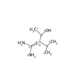 CC(C)CC(C)O.NC(N)=S